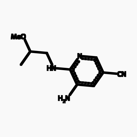 COC(C)CNc1ncc(C#N)cc1N